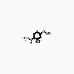 CCCOc1ccc(NN)cc1.Cl